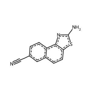 N#Cc1ccc2c(ccc3sc(N)nc32)c1